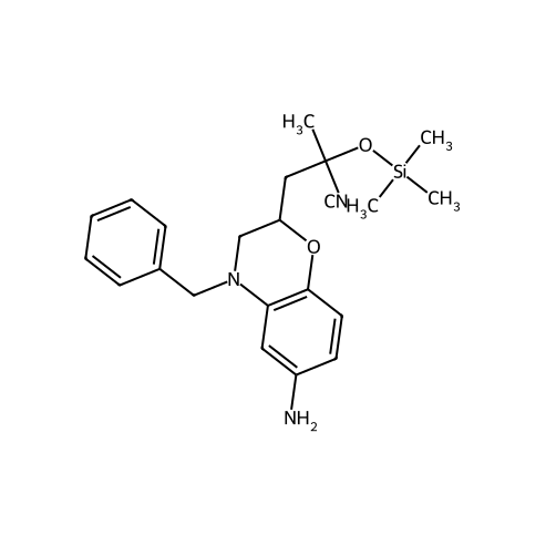 CC(C#N)(CC1CN(Cc2ccccc2)c2cc(N)ccc2O1)O[Si](C)(C)C